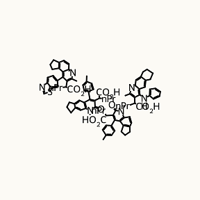 CCCC(C(=O)O)c1c(-c2ccc(C)cc2)c2c3c(ccc2n(C)c1=O)CCC3.CCCC(C(=O)O)c1c(-c2ccc(C)cc2)c2cc3c(cc2n(C)c1=O)CCC3.CCCC(C(=O)O)c1c(C)nc2cc3c(cc2c1Nc1ccccc1)CCCC3.CCCC(C(=O)O)c1c(C)nc2ccc3c(c2c1-c1ccc2ncsc2c1)CCC3